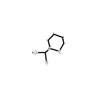 C[CH](Cl)[Al]1[CH2]CCC[O]1